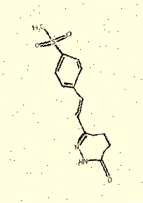 CS(=O)(=O)c1ccc(C=CC2=NNC(=O)CC2)cc1